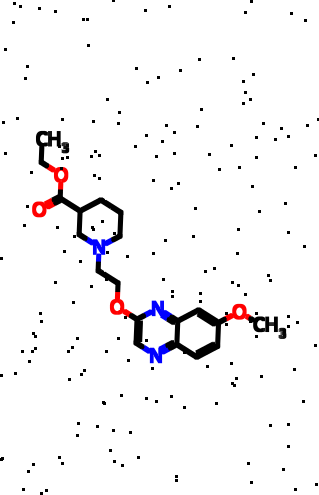 CCOC(=O)C1CCCN(CCOc2cnc3ccc(OC)cc3n2)C1